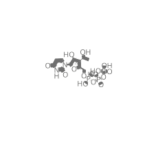 CC(O)[C@H]1[C@@H](O)[C@H](n2ccc(=O)[nH]c2=O)O[C@@H]1COP(=O)(O)OP(=O)(O)OP(=O)(O)O